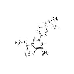 COC(=O)c1nc(-c2ccc(SC(C)C)cc2)nc(N)c1OC